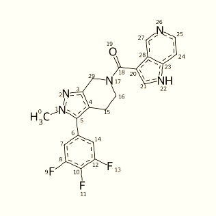 Cn1nc2c(c1-c1cc(F)c(F)c(F)c1)CCN(C(=O)c1c[nH]c3ccncc13)C2